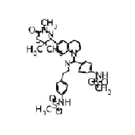 CN1N=C(c2ccc3c(c2)CCCN3C(=NCCc2ccc(NS(C)(=O)=O)cc2)c2ccc(NS(C)(=O)=O)cc2)C(C)(C)SC1=O